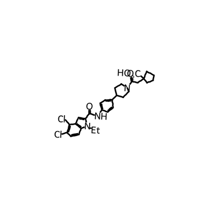 CCn1c(C(=O)Nc2ccc(C3CCN(C(=O)CC4(C(=O)O)CCCC4)CC3)cc2)cc2c(Cl)c(Cl)ccc21